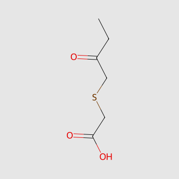 CCC(=O)CSCC(=O)O